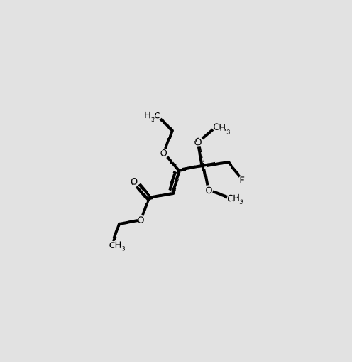 CCOC(=O)C=C(OCC)C(CF)(OC)OC